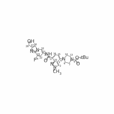 Cn1cc2c(N3CCN(C(=O)OC(C)(C)C)CC3)ccc(C(=O)Nc3cc(F)c4nc(CO)cn4c3)c2n1